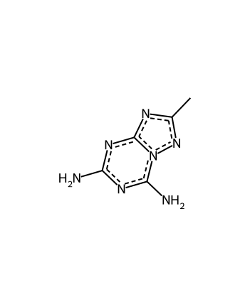 Cc1nc2nc(N)nc(N)n2n1